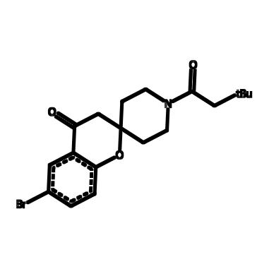 CC(C)(C)CC(=O)N1CCC2(CC1)CC(=O)c1cc(Br)ccc1O2